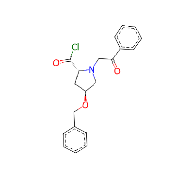 O=C(CN1C[C@@H](OCc2ccccc2)C[C@@H]1C(=O)Cl)c1ccccc1